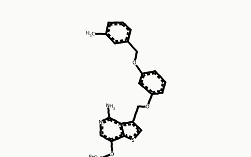 CCOC(=O)Oc1cnc(N)c2c(COc3cccc(OCc4cccc(C)c4)c3)csc12